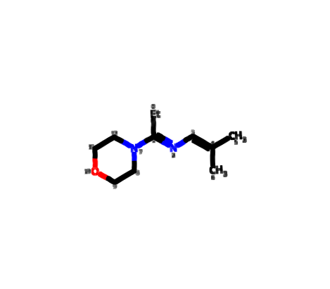 CC/C(=N\C=C(C)C)N1CCOCC1